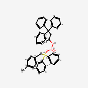 CC(CC(c1ccccc1)(c1ccccc1)c1ccccc1)OB(O)OS(Cc1ccc(C#N)cc1)(c1ccccc1)c1ccccc1